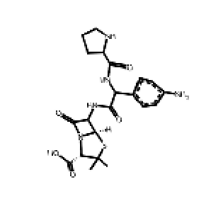 CC1(C)S[C@@H]2C(NC(=O)C(NC(=O)C3CCCN3)c3ccc(N)cc3)C(=O)N2[C@H]1C(=O)O